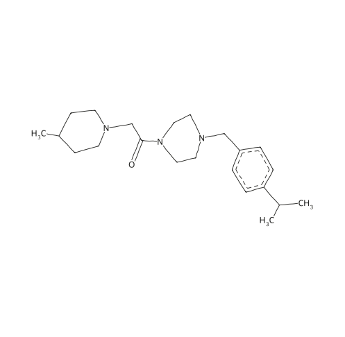 CC1CCN(CC(=O)N2CCN(Cc3ccc(C(C)C)cc3)CC2)CC1